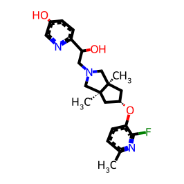 Cc1ccc(O[C@@H]2C[C@@]3(C)CN(CC(O)c4ccc(O)cn4)C[C@@]3(C)C2)c(F)n1